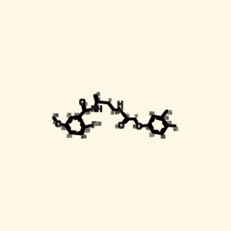 C=C(CCNC(=O)COc1ccc(C)c(C)c1)NC(=O)c1cc(OC)ccc1F